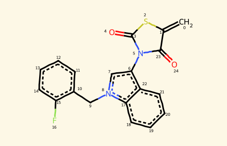 C=C1SC(=O)N(c2cn(Cc3ccccc3F)c3ccccc23)C1=O